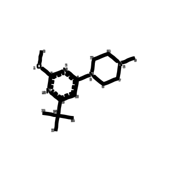 COc1nc(N2CCN(C)CC2)cc(C(C)(C)C)n1